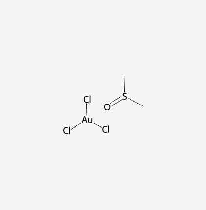 CS(C)=O.[Cl][Au]([Cl])[Cl]